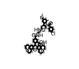 COc1ccc2c(c1)c(CC(=O)NCCNC(=O)c1ccc(C3=c4cc5c6c(c4Oc4c3cc3c7c4CCCN7CCC3)CCC[N+]=6CCC5)c(C(O)O)c1)c(C)n2C(=O)c1ccc(Cl)cc1